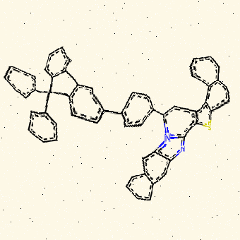 c1ccc(C2(c3ccccc3)c3ccccc3-c3cc(-c4ccc(-c5cc6c(sc7ccc8ccccc8c76)c6nc7cc8ccccc8cc7n56)cc4)ccc32)cc1